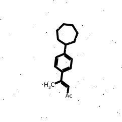 CC(=O)C=C(C)c1ccc(C2CCCCCC2)cc1